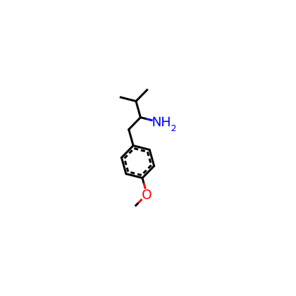 COc1ccc(CC(N)C(C)C)cc1